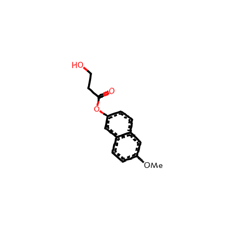 COc1ccc2cc(OC(=O)CCO)ccc2c1